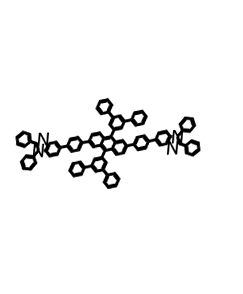 c1ccc(-c2cc(-c3ccccc3)cc(-c3c4ccc(-c5ccc(-c6ccc7c(c6)nc(-c6ccccc6)n7-c6ccccc6)cc5)cc4c(-c4cc(-c5ccccc5)cc(-c5ccccc5)c4)c4ccc(-c5ccc(-c6ccc7c(c6)nc(-c6ccccc6)n7-c6ccccc6)cc5)cc34)c2)cc1